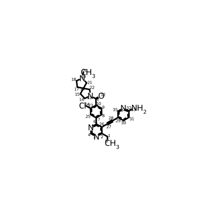 CCc1ncnc(-c2ccc(C(=O)N3CCC4(CCN(C)C4)C3)c(Cl)c2)c1C#Cc1ccc(N)nc1